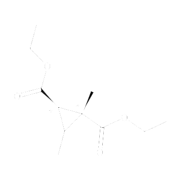 CCOC(=O)[C@@H]1C(C)[C@@]1(C)C(=O)OCC